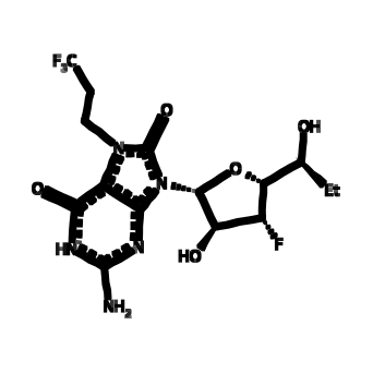 CC[C@H](O)[C@H]1O[C@@H](n2c(=O)n(CCC(F)(F)F)c3c(=O)[nH]c(N)nc32)[C@H](O)[C@H]1F